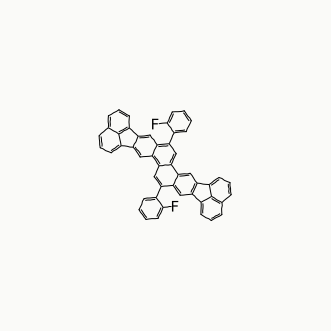 Fc1ccccc1-c1cc2c3cc4c(cc3c(-c3ccccc3F)cc2c2cc3c(cc12)-c1cccc2cccc-3c12)-c1cccc2cccc-4c12